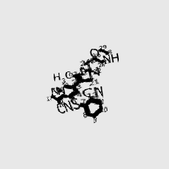 Cc1c(-c2cc(Sc3ccccc3C#N)c3c(C#N)cnn3c2)cnn1C[C@@H]1CNCCO1